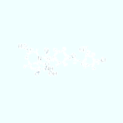 CC1(C)C[C@@H](O)CN(S(=O)(=O)c2ccc(OCc3ccc(Cl)cc3Cl)cc2)C1C(=O)NO